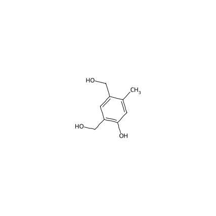 Cc1cc(O)c(CO)cc1CO